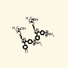 CN(O)C(=S)SCC=Cn1cc(-c2ccc(Cl)cc2)c(-c2ccc(S(N)(=O)=O)cc2)n1.CN(O)C(=S)SCC=Cn1cc(-c2ccccc2)c(-c2ccc(S(N)(=O)=O)cc2)n1